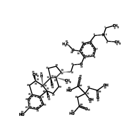 CCN(CC)Cc1ccc(OCC[C@H]2CC[C@H]3[C@@H]4[C@H](C)Cc5cc(O)ccc5[C@H]4CC[C@]23C)c(OC)c1.O=C(O)CC(O)(CC(=O)O)C(=O)O